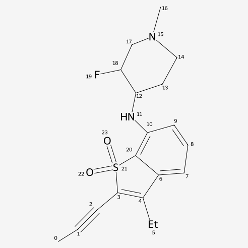 CC#CC1=C(CC)c2cccc(NC3CCN(C)CC3F)c2S1(=O)=O